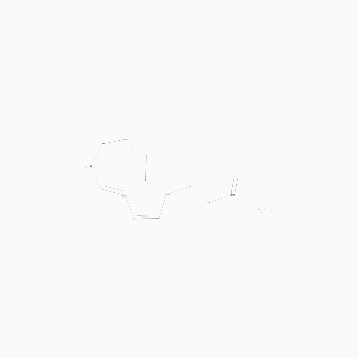 COC(=O)CCc1ccc2cccccc1-2